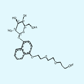 OCCOCCOCCOc1ccc(O[C@@H]2O[C@H](CO)[C@H](O)[C@H](O)[C@H]2O)c2ccccc12